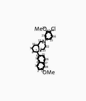 COc1ccc2cc(C3CCCC4CN(c5ccc(Cl)c(OC)c5)CCN43)ccc2c1